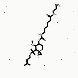 COC1C(OC(=O)NCCCCCC(=O)NCCN)CC[C@]2(CO2)C1C(C)(C)OCC=C(C)C